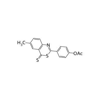 CC(=O)Oc1ccc(-c2nc3ccc(C)cc3c(=S)s2)cc1